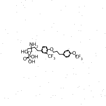 NC(CO)(CCc1ccc(OCCCc2ccc(OC(F)(F)F)cc2)c(C(F)(F)F)c1)COP(=O)(O)O